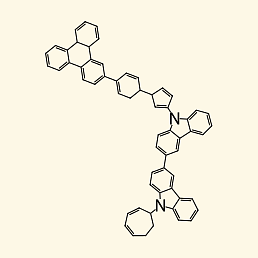 C1=CCCC(n2c3ccccc3c3cc(-c4ccc5c(c4)c4ccccc4n5C4=CC(C5C=CC(c6ccc7c(c6)C6C=CC=CC6c6ccccc6-7)=CC5)C=C4)ccc32)C=C1